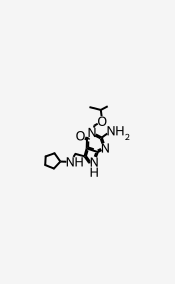 CC(C)OCn1c(N)nc2[nH]cc(CNC3CCCC3)c2c1=O